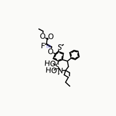 CCCCC1(CC)CC(c2ccccc2)c2cc(SC)c(O/C=C(\F)C(=O)OCC)cc2S(O)(O)N1C